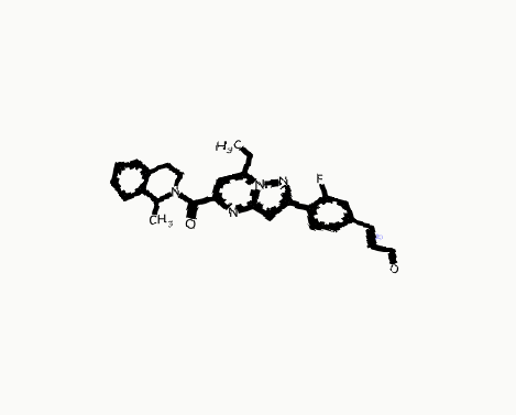 CCc1cc(C(=O)N2CCc3ccccc3C2C)nc2cc(-c3ccc(/C=C/C=O)cc3F)nn12